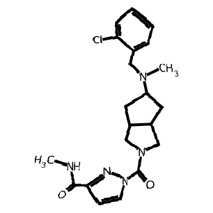 CNC(=O)c1ccn(C(=O)N2CC3CC(N(C)Cc4ccccc4Cl)CC3C2)n1